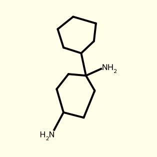 NC1CCC(N)(C2CCCCC2)CC1